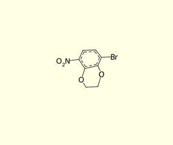 O=[N+]([O-])c1ccc(Br)c2c1OCCO2